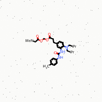 CNCC(=O)OCOC(=O)CCc1ccc(N(CC(C)C)CC(C)C)c(NC(=O)Nc2ccc(C)cc2)c1